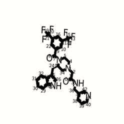 O=C(CN1CCN(C(=O)c2cc(C(F)(F)F)cc(C(F)(F)F)c2)[C@H](Cc2c[nH]c3ccccc23)C1)NCc1cccnc1